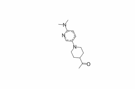 CC(=O)C1CCN(c2ccc(N(C)C)nc2)CC1